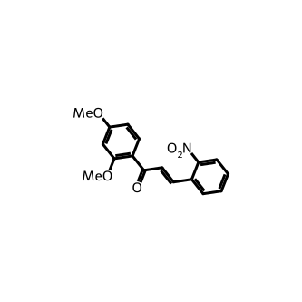 COc1ccc(C(=O)/C=C/c2ccccc2[N+](=O)[O-])c(OC)c1